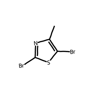 Cc1nc(Br)sc1Br